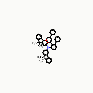 CC1(C)c2ccccc2-c2ccc(N(c3ccc4c(c3)-c3ccccc3[Si]4(C)C)c3cccc(-c4ccccc4)c3C3=CC(c4ccccc4)CC=C3)cc21